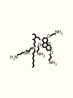 CCCCCCCCN(CCCNCCCN)CCCC(C)C(CC)CC[C@@H]1C[C@@H](OCCCN)C[C@H]2C1[C@H](OCCCN)CC1C[C@H](OCCCN)CC[C@@]12C